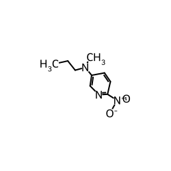 CCCN(C)c1ccc([N+](=O)[O-])nc1